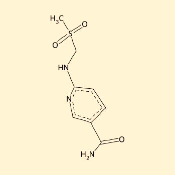 CS(=O)(=O)CNc1ccc(C(N)=O)cn1